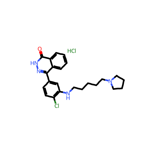 Cl.O=c1[nH]nc(-c2ccc(Cl)c(NCCCCCN3CCCC3)c2)c2ccccc12